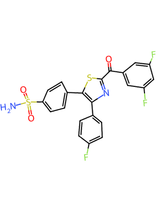 NS(=O)(=O)c1ccc(-c2sc(C(=O)c3cc(F)cc(F)c3)nc2-c2ccc(F)cc2)cc1